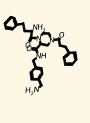 NCc1ccc(CNC(=O)C2CN(C(=O)CCc3ccccc3)CCN2C(=O)C(N)CCc2ccccc2)cc1